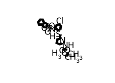 CC(C)(C)OC(=O)Nc1cccc(CSc2ccc(Cl)cc2NS(=O)(=O)c2cc3ccccc3o2)n1